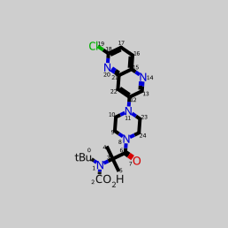 CC(C)(C)N(C(=O)O)C(C)(C)C(=O)N1CCN(c2cnc3ccc(Cl)nc3c2)CC1